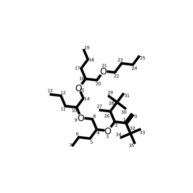 C=C(C(OC(CCC)COC(CCC)COC(CCC)COCCCC)C(C)C(C)(C)C)C(C)(C)C